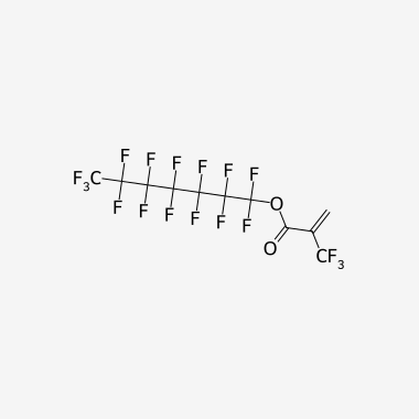 C=C(C(=O)OC(F)(F)C(F)(F)C(F)(F)C(F)(F)C(F)(F)C(F)(F)C(F)(F)F)C(F)(F)F